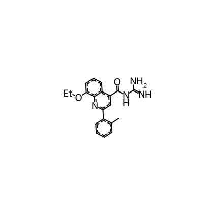 CCOc1cccc2c(C(=O)NC(=N)N)cc(-c3ccccc3C)nc12